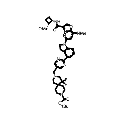 CNc1cc(N2CCc3c(-c4ncc(CN5CCC6(CCN(C(=O)OC(C)(C)C)CC6)C(F)(F)C5)cn4)cccc32)nn2c(C(=O)N[C@@H]3CC[C@H]3OC)cnc12